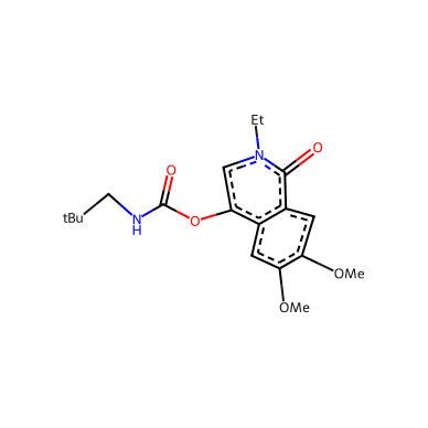 CCn1cc(OC(=O)NCC(C)(C)C)c2cc(OC)c(OC)cc2c1=O